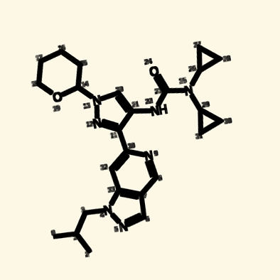 CC(C)Cn1ncc2cnc(-c3nn(C4CCCCO4)cc3NC(=O)N(C3CC3)C3CC3)cc21